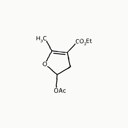 CCOC(=O)C1=C(C)OC(OC(C)=O)C1